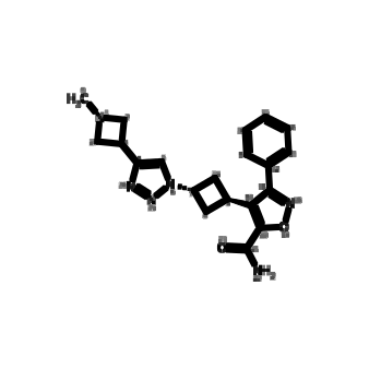 CN1CC(c2cn([C@H]3C[C@H](c4c(-c5ccccc5)noc4C(N)=O)C3)nn2)C1